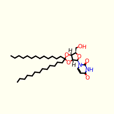 CCCCCCCCCCCCCC1(CCCCCCCCCCCCC)O[C@@H]2[C@H](O1)[C@@H](CO)O[C@H]2n1ccc(=O)[nH]c1=O